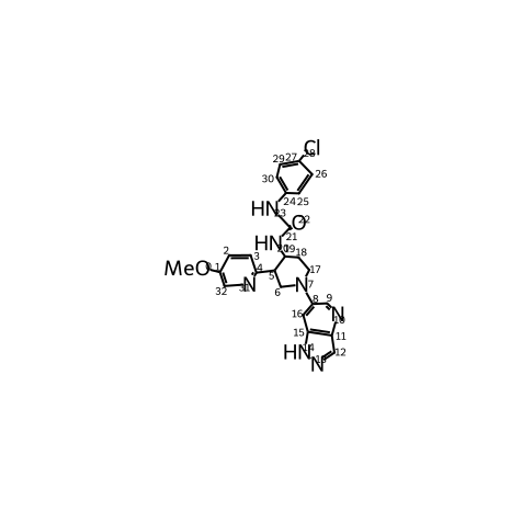 COc1ccc(C2CN(c3cnc4cn[nH]c4c3)CCC2NC(=O)Nc2ccc(Cl)cc2)nc1